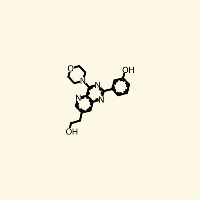 OCCc1cnc2c(N3CCOCC3)nc(-c3cccc(O)c3)nc2c1